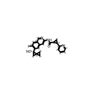 N#C[C@@]1(c2cc3cc(NC(=O)C4CC4c4ccccn4)ncc3cc2F)CC12CC2